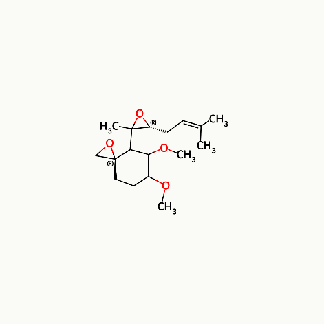 COC1CC[C@]2(CO2)C(C2(C)O[C@@H]2CC=C(C)C)C1OC